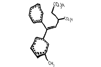 Cc1cccc(C(=CC(CC(=O)O)C(=O)O)c2ccccc2)c1